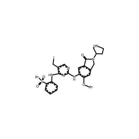 CC(C)Oc1cc2c(cc1Nc1ncc(CI)c(Nc3ccccc3S(=O)(=O)C(C)C)n1)C(=O)N(C1CCNC1)C2